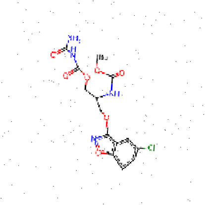 CC(C)(C)OC(=O)NC(COC(=O)NC(N)=O)COc1noc2ccc(Cl)cc12